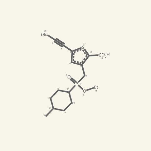 CCOP(=O)(Cc1cc(C#CC(C)(C)C)sc1C(=O)O)C1CCC(C)CC1